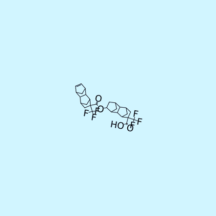 O=C(OC1CC2CC1C1C2C2CC1C(C(=O)O)(C(F)(F)F)C2)C1(C(F)(F)F)CC2CC1C1C3C=CC(C3)C21